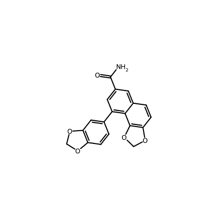 NC(=O)c1cc(-c2ccc3c(c2)OCO3)c2c3c(ccc2c1)OCO3